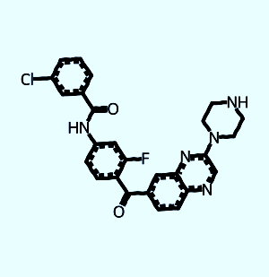 O=C(Nc1ccc(C(=O)c2ccc3ncc(N4CCNCC4)nc3c2)c(F)c1)c1cccc(Cl)c1